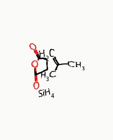 C=C(C)C.O=C1CCC(=O)O1.[SiH4]